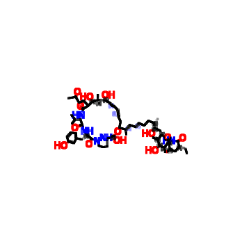 CC[C@@H]1C[C@@H](C)[C@]2(NC1=O)O[C@@H](C[C@H](O)[C@@H](C)CC/C=C/C=C(\C)C1C/C=C/C=C/[C@@H](O)[C@H](C)[C@@H](O)C(CCC(C)=O)C(=O)NC(C(C)C)C(=O)N[C@@H](Cc3cccc(O)c3)C(=O)N3CCCC(N3)[C@@H](O)O1)[C@H](C)[C@H](O)[C@@H]2C